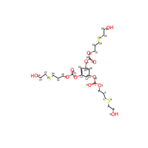 O=C(OCCCSCCO)Oc1cc(OC(=O)OCCCSCCO)cc(OC(=O)OCCCSCCO)c1